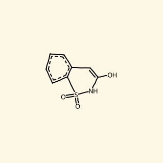 O=S1(=O)NC(O)=Cc2ccccc21